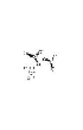 O.O=[N+]([O-])[O-].O=[N+]([O-])[O-].[O-2].[Zr+4]